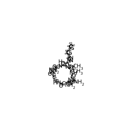 CC[C@H](C)C1NC(=O)C(CC(N)=O)NC(=O)C(N)CC(=O)NCCCCC(C(N)=O)NC(=O)CNC(=O)C2CC(n3cc(-c4ccc(-c5cccs5)s4)nn3)CN2C1=O